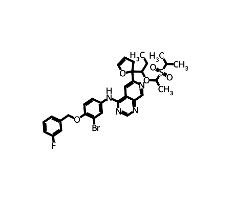 CCC(OC(C)S(=O)(=O)C(C)C)C1(c2cc3c(Nc4ccc(OCc5cccc(F)c5)c(Br)c4)ncnc3cn2)CC=CO1